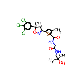 Cc1cc(C2=NOC(C)(c3cc(Cl)c(Cl)c(Cl)c3)C2)sc1C(=O)NCC(=O)NCC(C)(C)O